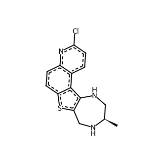 C[C@@H]1CNc2c(sc3ccc4nc(Cl)ccc4c23)CN1